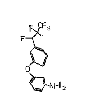 Nc1cccc(Oc2cccc(C(F)C(F)(F)C(F)(F)F)c2)c1